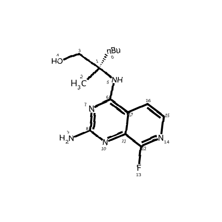 CCCC[C@](C)(CO)Nc1nc(N)nc2c(F)nccc12